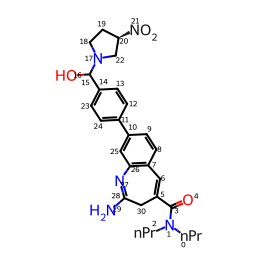 CCCN(CCC)C(=O)C1=Cc2ccc(-c3ccc(C(O)N4CC[C@@H]([N+](=O)[O-])C4)cc3)cc2N=C(N)C1